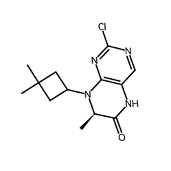 C[C@@H]1C(=O)Nc2cnc(Cl)nc2N1C1CC(C)(C)C1